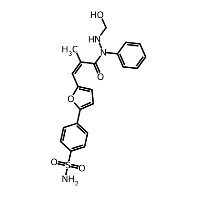 C/C(=C/c1ccc(-c2ccc(S(N)(=O)=O)cc2)o1)C(=O)N(NCO)c1ccccc1